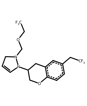 FC(F)(F)COCN1CC=CN1C1COc2ccc(CC(F)(F)F)cc2C1